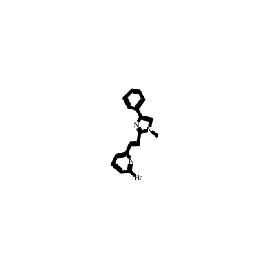 Cn1cc(-c2ccccc2)nc1C=Cc1cccc(Br)n1